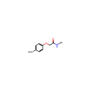 CC(C)NC(=O)COc1ccc(C=O)cc1